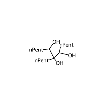 CCCCCC(O)C(O)(CCCCC)C(O)CCCCC